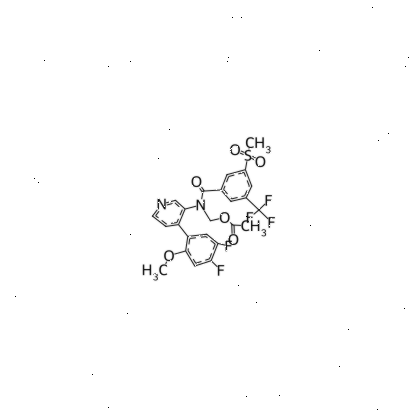 COc1cc(F)c(F)cc1-c1ccncc1N(COC(C)=O)C(=O)c1cc(C(F)(F)F)cc(S(C)(=O)=O)c1